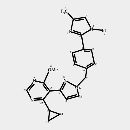 CCn1cc(C(F)(F)F)nc1-c1ccc(Cn2ccc(-c3c(OC)ncnc3C3CC3)n2)cc1